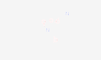 CCCC(=O)N1C[C@H](OCC)C[C@H]1C(=O)OCC#N